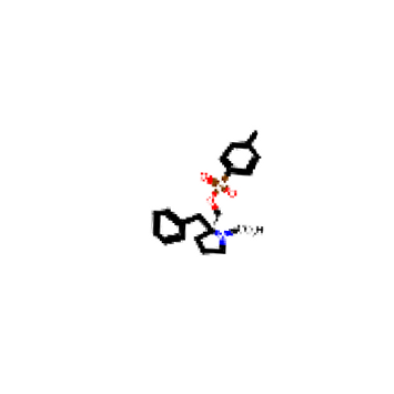 Cc1ccc(S(=O)(=O)OC[C@@]2(Cc3ccccc3)CCCN2C(=O)O)cc1